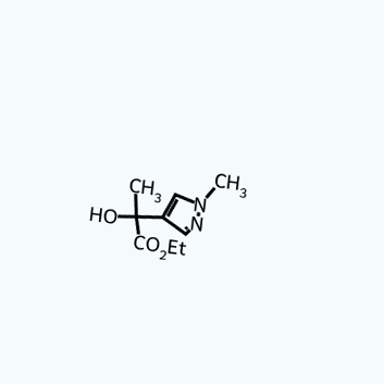 CCOC(=O)C(C)(O)c1cnn(C)c1